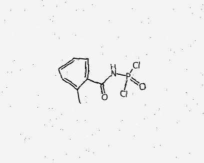 Cc1ccccc1C(=O)NP(=O)(Cl)Cl